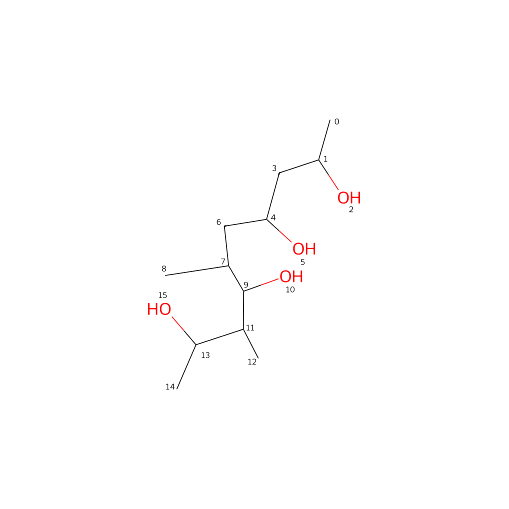 CC(O)CC(O)CC(C)C(O)C(C)C(C)O